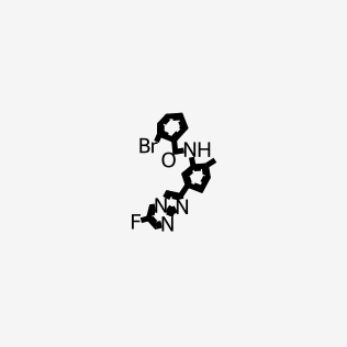 Cc1ccc(-c2cn3cc(F)cnc3n2)cc1NC(=O)c1ccccc1Br